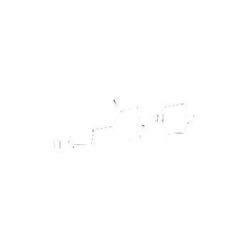 C[C@H](CCCN)OC(=O)N1CCOCC1